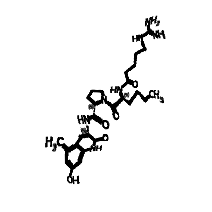 CCCC[C@H](NC(=O)CCCCNC(=N)N)C(=O)N1CCC[C@H]1C(=O)N[C@H]1Cc2c(C)cc(O)cc2NC1=O